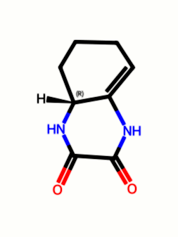 O=C1NC2=CCCC[C@H]2NC1=O